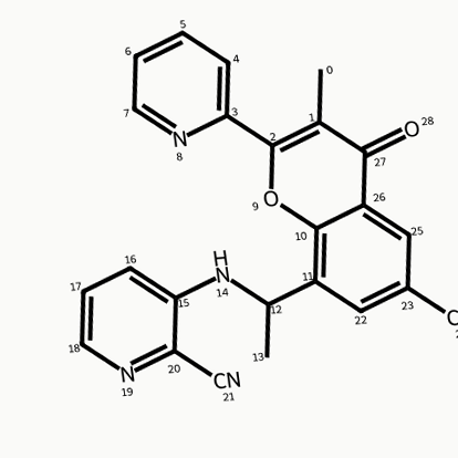 Cc1c(-c2ccccn2)oc2c(C(C)Nc3cccnc3C#N)cc(C(F)(F)F)cc2c1=O